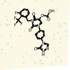 O=C(O)Oc1cn(-c2ccc(-n3cn[nH]c3=O)cc2)c(=O)n(Cc2cccc(F)c2C(F)(F)F)c1=O